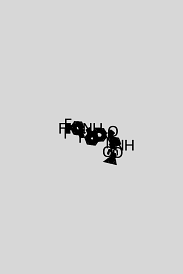 O=C(c1c[nH]c(S(=O)(=O)C2CC2)n1)N1CCc2c(cccc2Nc2ccc(C(F)(F)F)cc2F)C1